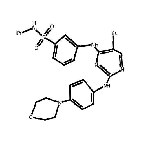 CCc1cnc(Nc2ccc(N3CCOCC3)cc2)nc1Nc1cccc(S(=O)(=O)NC(C)C)c1